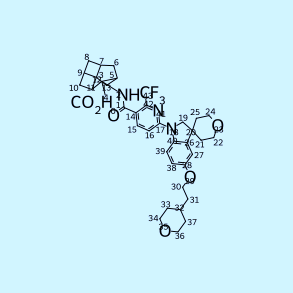 O=C(NC1(C(=O)O)C2CC3CC4CC1C34C2)c1ccc(N2CC3(CCOCC3)c3cc(OCCC4CCOCC4)ccc32)nc1C(F)(F)F